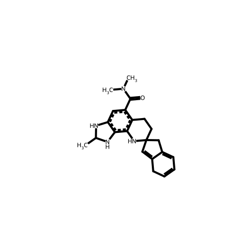 CC1Nc2cc(C(=O)N(C)C)c3c(c2N1)NC1(C=C2CC=CC=C2C1)CC3